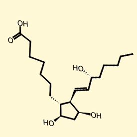 CCCCC[C@@H](O)C=C[C@@H]1[C@@H](CCCCCCC(=O)O)[C@H](O)C[C@@H]1O